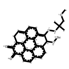 COCC(C)(C)SOC1=c2ccc3c4c5c(c(=O)c(=O)c6ccc7ccc(c(c24)c7c65)C1OS)CC=3